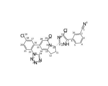 N#Cc1cccc(-c2[nH]c([C@@H]3CCc4cc(-c5cc(Cl)ccc5-n5cnnn5)cc(=O)n43)nc2Cl)c1